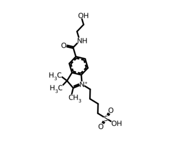 CC1=[N+](CCCCS(=O)(=O)O)c2ccc(C(=O)NCCO)cc2C1(C)C